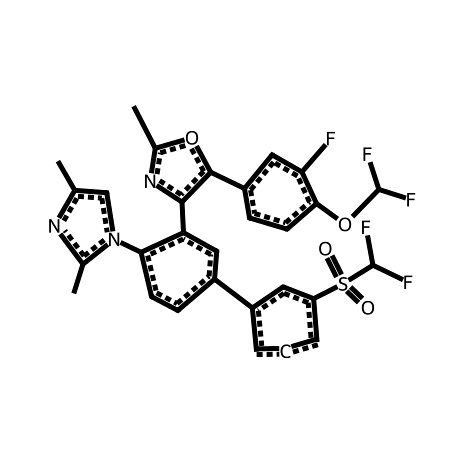 Cc1cn(-c2ccc(-c3cccc(S(=O)(=O)C(F)F)c3)cc2-c2nc(C)oc2-c2ccc(OC(F)F)c(F)c2)c(C)n1